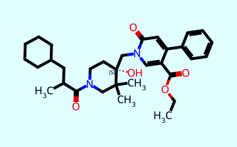 CCOC(=O)c1cn(C[C@]2(O)CCN(C(=O)C(C)CC3CCCCC3)CC2(C)C)c(=O)cc1-c1ccccc1